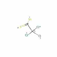 S=C(S)C(Cl)(Cl)Cl